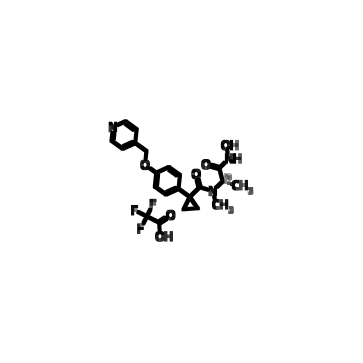 C[C@@H](C(=O)NO)N(C)C(=O)C1(c2ccc(OCc3ccncc3)cc2)CC1.O=C(O)C(F)(F)F